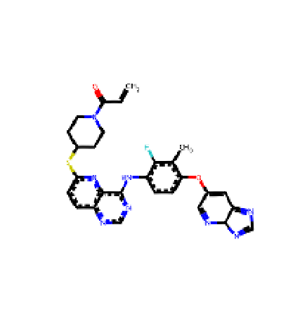 C=CC(=O)N1CCC(Sc2ccc3ncnc(Nc4ccc(OC5=CC6=NC=NC6N=C5)c(C)c4F)c3n2)CC1